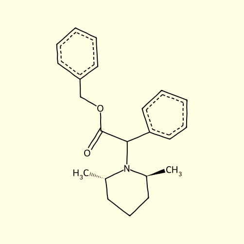 C[C@H]1CCC[C@H](C)N1C(C(=O)OCc1ccccc1)c1ccccc1